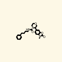 Cn1c(=O)oc2cc(C3COCCN3C(=O)NCCCCc3ccccc3)ccc21